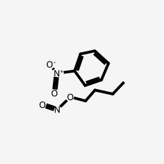 CCCCON=O.O=[N+]([O-])c1ccccc1